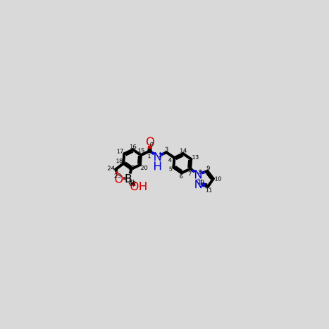 O=C(NCc1ccc(-n2cccn2)cc1)c1ccc2c(c1)B(O)OC2